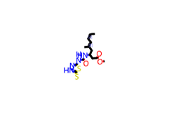 C/C=C\C=C(/C)CC(CC(=O)OC)NC(=O)Nc1n[nH]c(=S)s1